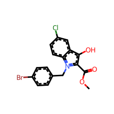 COC(=O)c1c(O)c2cc(Cl)ccc2n1Cc1ccc(Br)cc1